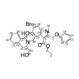 CCOC(=O)c1c(COc2ccccc2)n(C)c2cc(Br)c(O)c(CN3Cc4ccccc4CC3CO)c12